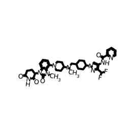 CN(CC1CCC(n2cc(NC(=O)c3ccccn3)c(C(F)F)n2)CC1)C1CCN(c2cccc3c2n(C)c(=O)n3C2CCC(=O)NC2=O)CC1